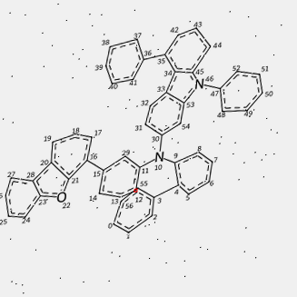 c1ccc(-c2ccccc2N(c2cccc(-c3cccc4c3oc3ccccc34)c2)c2ccc3c4c(-c5ccccc5)cccc4n(-c4ccccc4)c3c2)cc1